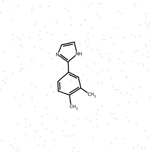 Cc1ccc(-c2ncc[nH]2)cc1C